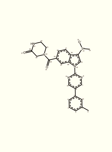 Cc1cccc(-c2cnc(-n3cc([S+](C)[O-])c4ccc(C(=O)N5CCNC(=O)C5)cc43)nc2)c1